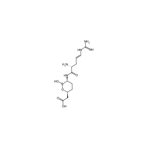 N=C(N)N/C=C/C[C@@H](N)C(=O)N[C@H]1CC[C@@H](CC(=O)O)OB1O